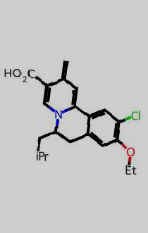 C=C1C=C2c3cc(Cl)c(OCC)cc3CC(CC(C)C)N2C=C1C(=O)O